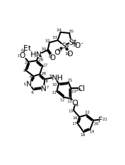 CCOc1cc2ncnc(Nc3ccc(OCc4cccc(F)c4)c(Cl)c3)c2cc1NC(=O)CC1CC[S+]([O-])S1(=O)=O